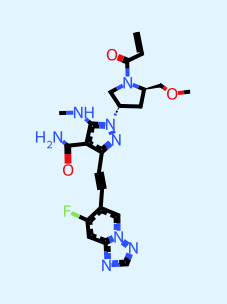 C=CC(=O)N1C[C@@H](n2nc(C#Cc3cn4ncnc4cc3F)c(C(N)=O)c2NC)C[C@@H]1COC